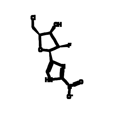 O=[N+]([O-])c1nc([C@@H]2O[C@H](CCl)[C@@H](O)[C@@H]2F)c[nH]1